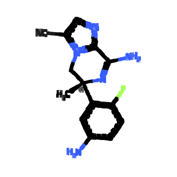 C[C@@]1(c2cc(N)ccc2F)Cn2c(C#N)cnc2C(N)=N1